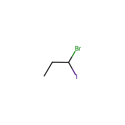 CCC(Br)I